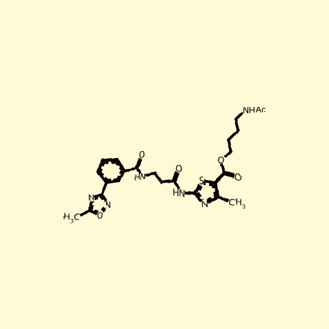 CC(=O)NCCCCOC(=O)c1sc(NC(=O)CCNC(=O)c2cccc(-c3noc(C)n3)c2)nc1C